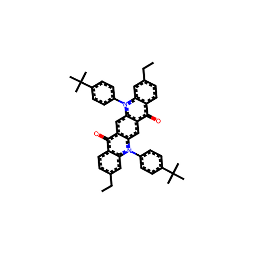 CCc1ccc2c(=O)c3cc4c(cc3n(-c3ccc(C(C)(C)C)cc3)c2c1)c(=O)c1ccc(CC)cc1n4-c1ccc(C(C)(C)C)cc1